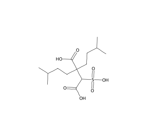 CC(C)CCC(CCC(C)C)(C(=O)O)C(C(=O)O)S(=O)(=O)O